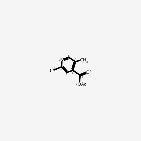 CC(=O)OC(=O)c1cc(Cl)ncc1C